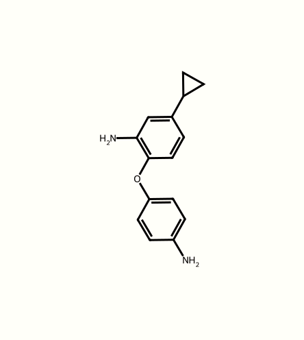 Nc1ccc(Oc2ccc(C3CC3)cc2N)cc1